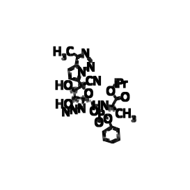 Cc1ncnn2c([C@]3(C#N)O[C@@](COP(=O)(N[C@H](C)C(=O)OC(C)C)Oc4ccccc4)(N=[N+]=[N-])[C@@H](O)[C@H]3O)ccc12